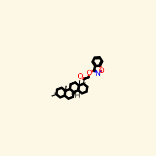 C[C@H]1CC[C@@]2(C)C(CC[C@@H]3C2CC[C@@]2(C)C3CCC[C@@H]2C(=O)COc2noc3ccccc23)C1